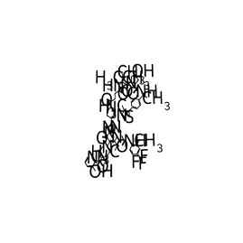 CCc1c(N2CCN(C(=O)c3ncccc3O)CC2)c(=O)n2nc(C3=CCN(C(=O)CCC(=O)N[C@H](C(=O)N4C[C@H](O)C[C@H]4C(=O)N[C@@H](C)c4ccc(-c5scnc5C)cc4)C(C)(C)C)CC3)nc2n1CC(=O)Nc1ccc(C(F)(F)F)cc1C